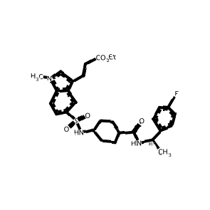 CCOC(=O)CCc1cn(C)c2ccc(S(=O)(=O)NC3CCC(C(=O)N[C@H](C)c4ccc(F)cc4)CC3)cc12